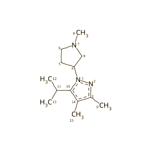 Cc1nn(C2CCN(C)C2)c(C(C)C)c1C